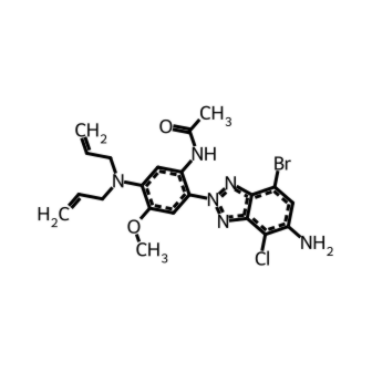 C=CCN(CC=C)c1cc(NC(C)=O)c(-n2nc3c(Br)cc(N)c(Cl)c3n2)cc1OC